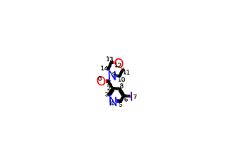 O=C(c1cncc(I)c1)N1CCOCC1